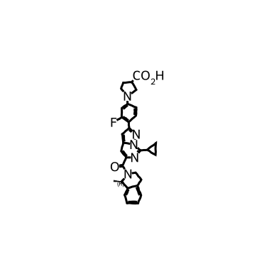 C[C@@H]1c2ccccc2CCN1C(=O)c1cc2cc(-c3ccc(N4CCC(C(=O)O)C4)cc3F)nn2c(C2CC2)n1